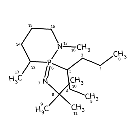 CCCC(CC)P1(=NC(C)(C)C)C(C)CCCN1C